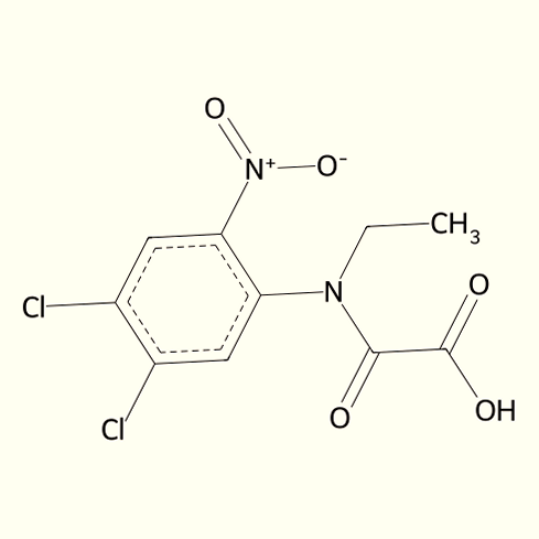 CCN(C(=O)C(=O)O)c1cc(Cl)c(Cl)cc1[N+](=O)[O-]